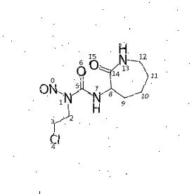 O=NN(CCCl)C(=O)NC1CCCCNC1=O